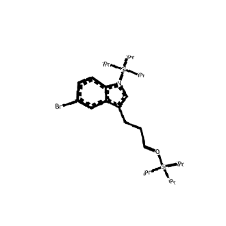 CC(C)[Si](OCCCc1cn([Si](C(C)C)(C(C)C)C(C)C)c2ccc(Br)cc12)(C(C)C)C(C)C